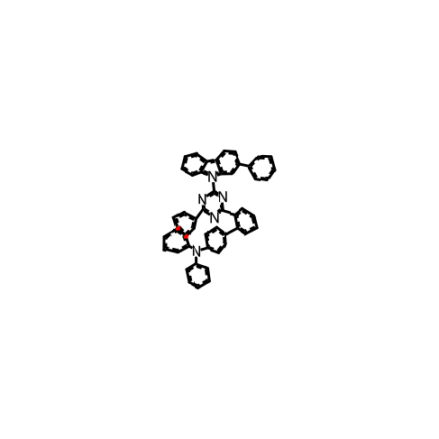 c1ccc(-c2ccc3c4ccccc4n(-c4nc(-c5ccccc5)nc(-c5ccccc5-c5ccc(N(c6ccccc6)c6ccccc6)cc5)n4)c3c2)cc1